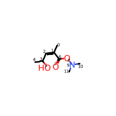 CC(=CC(C)O)C(=O)ON(C)C